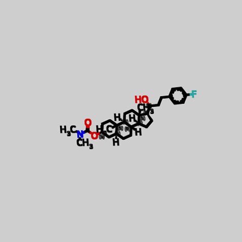 CN(C)C(=O)O[C@H]1CC[C@@]2(C)[C@@H](CC[C@@H]3[C@@H]2CC[C@]2(C)[C@@H]([C@H](O)CCc4ccc(F)cc4)CC[C@@H]32)C1